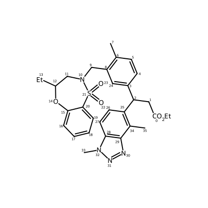 CCOC(=O)CC(c1ccc(C)c(CN2CC(CC)Oc3ccccc3S2(=O)=O)c1)c1ccc2c(nnn2C)c1C